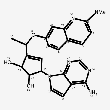 CNc1ccc2ccc(OC(C)C3=CC(n4ccc5c(N)ncnc54)C(O)C3O)cc2n1